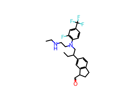 CCNCCN(CC(CC)c1ccc2c(c1)C(C=O)CC2)c1ccc(C(F)(F)F)cc1F